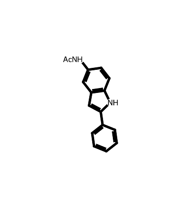 CC(=O)Nc1ccc2[nH]c(-c3ccccc3)cc2c1